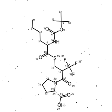 CCCCC(NC(=O)OC(C)(C)C)C(=O)SCC(C(=O)N1CCC[C@H]1C(=O)O)C(F)(F)F